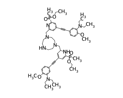 CCOP(C)(=O)C1=CC(C#Cc2ccc(OC)c(N(CC)CC)c2)=CC(CN2CCNCCN(Cc3cc(C#Cc4ccc(OC)c(N(CC)CC)c4)cc(P(C)(=O)OCC)n3)CC2)N1